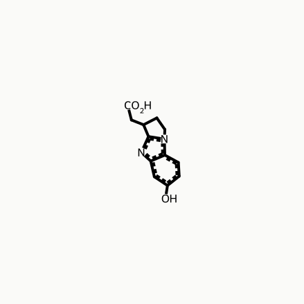 O=C(O)CC1CCn2c1nc1cc(O)ccc12